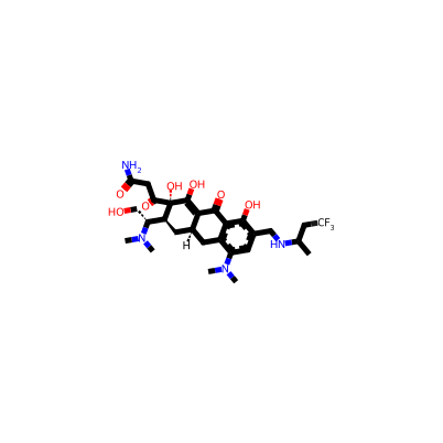 CC(CC(F)(F)F)NCc1cc(N(C)C)c2c(c1O)C(=O)C1=C(O)[C@](O)(C(=O)CC(N)=O)[C@H]([C@@H](CO)N(C)C)C[C@@H]1C2